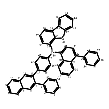 c1ccc(-c2cc3ccccc3cc2-c2ccc(N(c3ccc(-c4ccccc4)c4ccccc34)c3cccc4c3sc3ccccc34)cc2)cc1